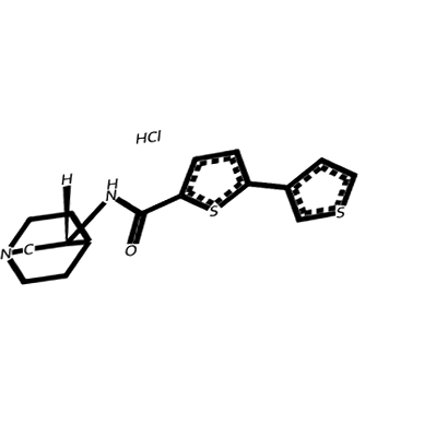 Cl.O=C(N[C@H]1CN2CCC1CC2)c1ccc(-c2ccsc2)s1